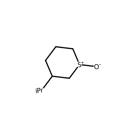 CC(C)C1CCC[S+]([O-])C1